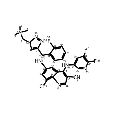 CS(C)(C)Cn1cc([C@@H](Nc2cc(Cl)c3ncc(C#N)c(Nc4cnc(F)c(F)c4)c3c2)c2ccccc2F)nn1